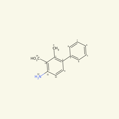 Cc1c(-c2ccccc2)ccc(N)c1C(=O)O